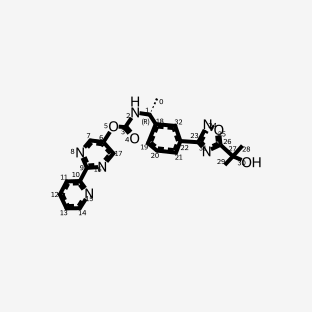 C[C@@H](NC(=O)Oc1cnc(-c2ccccn2)nc1)c1cccc(-c2noc(C(C)(C)O)n2)c1